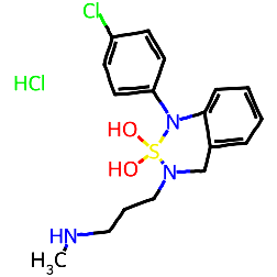 CNCCCN1Cc2ccccc2N(c2ccc(Cl)cc2)S1(O)O.Cl